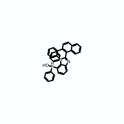 O[PH](c1ccccc1)(c1ccccc1)c1cccc2nc3c4c5ccccc5ccc4c4ccccc4n3c12